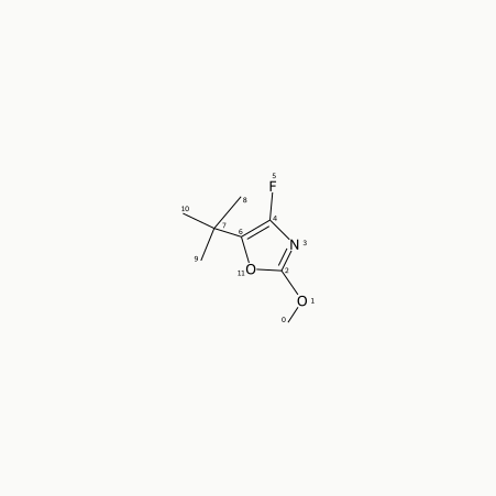 COc1nc(F)c(C(C)(C)C)o1